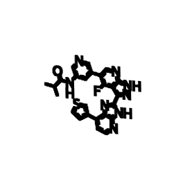 CC(C)C(=O)Nc1cncc(-c2cnc3[nH]nc(-c4nc5c(-c6ccsc6)ccnc5[nH]4)c3c2F)c1